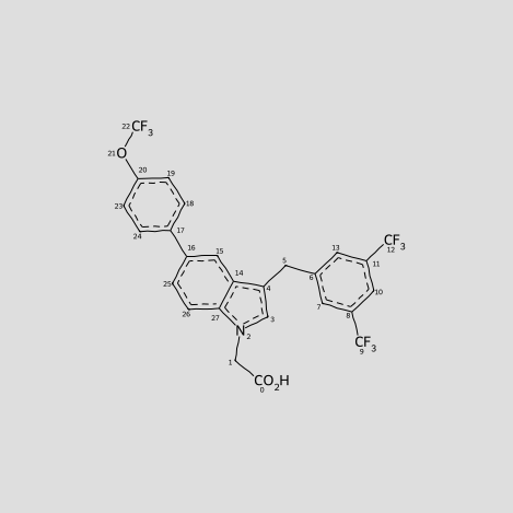 O=C(O)Cn1cc(Cc2cc(C(F)(F)F)cc(C(F)(F)F)c2)c2cc(-c3ccc(OC(F)(F)F)cc3)ccc21